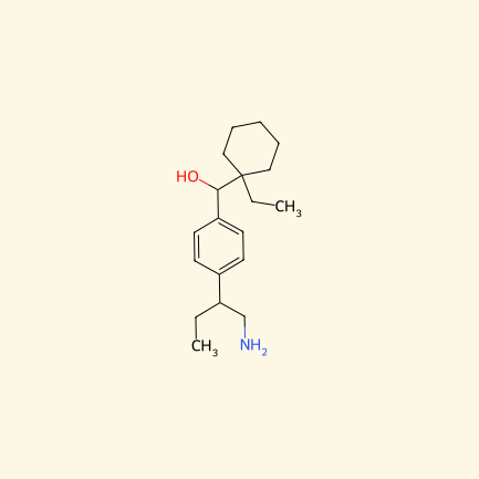 CCC(CN)c1ccc(C(O)C2(CC)CCCCC2)cc1